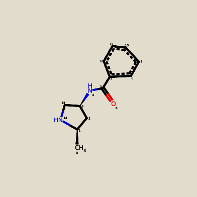 C[C@@H]1C[C@H](NC(=O)c2ccccc2)CN1